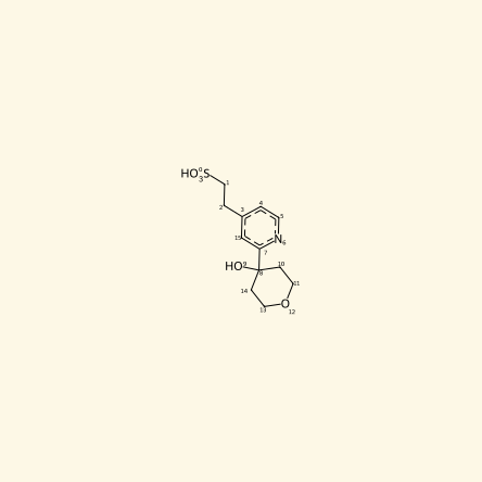 O=S(=O)(O)CCc1ccnc(C2(O)CCOCC2)c1